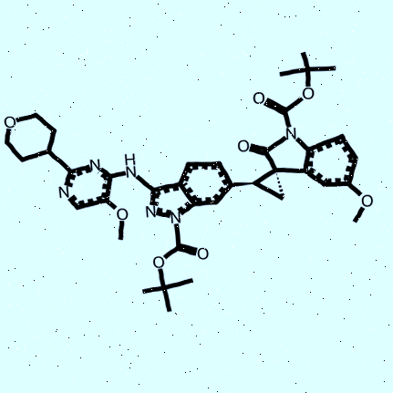 COc1ccc2c(c1)[C@]1(C[C@H]1c1ccc3c(Nc4nc(C5CCOCC5)ncc4OC)nn(C(=O)OC(C)(C)C)c3c1)C(=O)N2C(=O)OC(C)(C)C